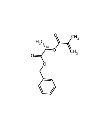 C=C(C)C(=O)O[C@@H](C)C(=O)OCc1ccccc1